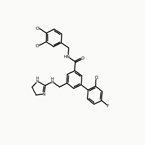 O=C(NCc1ccc(Cl)c(Cl)c1)c1cc(CNC2=NCCN2)cc(-c2ccc(F)cc2Cl)c1